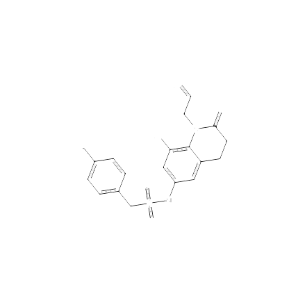 C=CCN1C(=O)CCc2cc(NS(=O)(=O)Cc3ccc(Cl)cc3)cc(C)c21